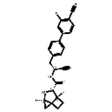 N#Cc1ccc(-c2ccc(C[C@@H](C#N)NC(=O)[C@H]3N[C@@H]4CC45CC[C@@H]35)cc2)cc1F